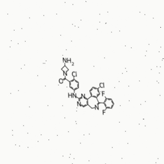 NC1CN(C(=O)c2cc(Nc3ncc4c(n3)-c3ccc(Cl)cc3C(c3c(F)cccc3F)=NC4)ccc2Cl)C1